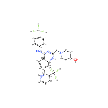 OC1CCN(Cc2nc(Nc3ccc(C(F)(F)F)cc3)c3ccc(-c4ncccc4C(F)(F)F)cc3n2)CC1